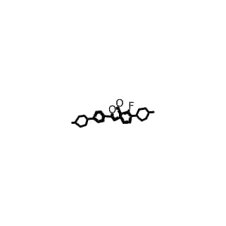 CC1CCC(c2ccc(-c3cc4ccc(C5CCC(C)CC5)c(F)c4c(=O)o3)cc2)CC1